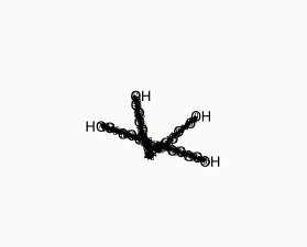 OCCOCCCCOCCOCCON(CCOCCOCCOCCOCCO)c1ccc(C(c2ccc(N(CCOCCOCCOCCOCCO)OCCOCCOCCCCOCCO)cc2)c2cccs2)cc1